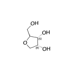 OC[C]1OC[C@@H](O)[C@H]1O